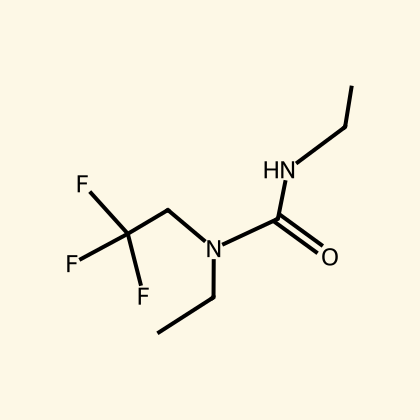 CCNC(=O)N(CC)CC(F)(F)F